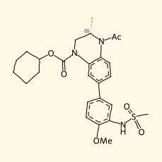 COc1ccc(-c2ccc3c(c2)N(C(=O)OC2CCCCC2)C[C@H](C)N3C(C)=O)cc1NS(C)(=O)=O